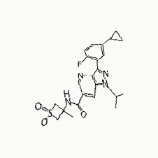 CC(C)n1nc(-c2cc(C3CC3)ccc2F)c2ncc(C(=O)NC3(C)CS(=O)(=O)C3)cc21